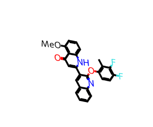 COc1cccc2[nH]c(-c3cc4ccccc4nc3Oc3ccc(F)c(F)c3C)cc(=O)c12